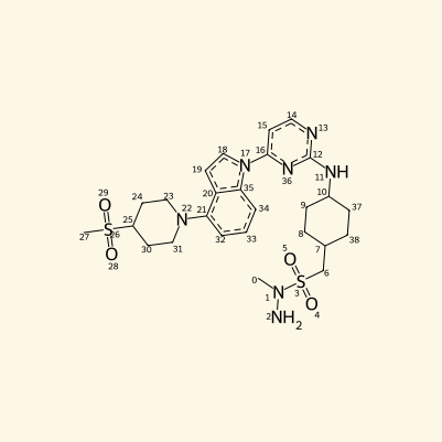 CN(N)S(=O)(=O)CC1CCC(Nc2nccc(-n3ccc4c(N5CCC(S(C)(=O)=O)CC5)cccc43)n2)CC1